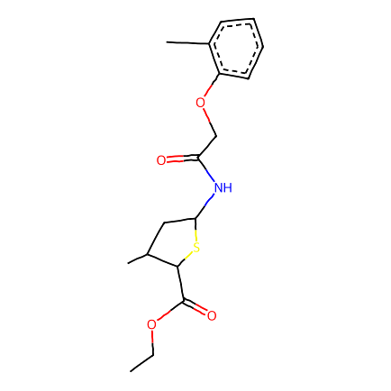 CCOC(=O)C1SC(NC(=O)COc2ccccc2C)CC1C